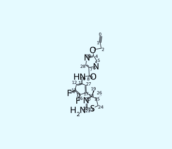 C#CCOc1cnc(C(=O)Nc2cc(F)c(F)c([C@@]3(C)N=C(N)SC[C@H]3C)c2)cn1